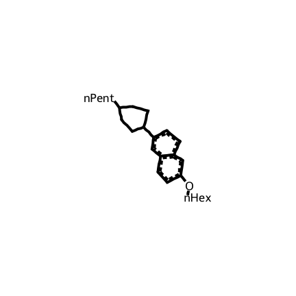 CCCCCCOc1ccc2cc(C3CCC(CCCCC)CC3)ccc2c1